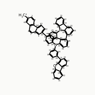 Cc1ccc2c(ccc3cc(-c4ccc(N(c5cccc(-c6cccc7c6oc6ccccc67)c5)c5cccc6c5-c5ccccc5-n5c7ccccc7c7cccc-6c75)cc4)ccc32)c1